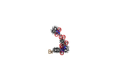 O=C(OCCCN1C(=O)c2cccc3cccc(c23)C1=O)c1ccc2c(c1)C(=O)C(c1ccc3cccc(N4C(=O)c5cc6ccc(Br)cc6cc5C4=O)c3n1)C2=O